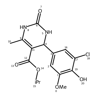 COc1cc(C2NC(=O)NC(C)=C2C(=O)OC(C)C)cc(Cl)c1O